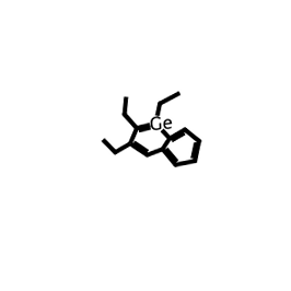 CCC1=Cc2cccc[c]2[Ge]([CH2]C)=[C]1CC